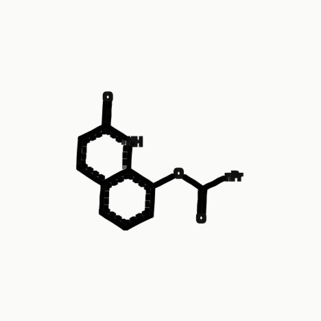 CCCC(=O)Oc1cccc2ccc(=O)[nH]c12